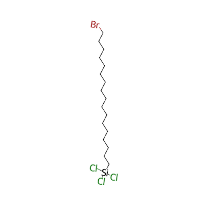 Cl[Si](Cl)(Cl)CCCCCCCCCCCCCCCCCBr